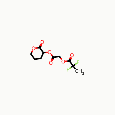 CC(F)(F)C(=O)OCC(=O)OC1CCCOC1=O